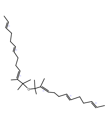 C/C=C/CC/C=C/CC/C=C(\C)C(C)(C)OC(C)(C)/C(C)=C/CC/C=C/CC/C=C/C